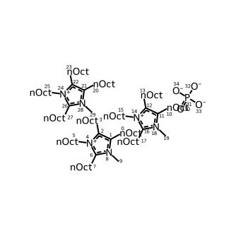 CCCCCCCCc1c(CCCCCCCC)[n+](CCCCCCCC)c(CCCCCCCC)n1C.CCCCCCCCc1c(CCCCCCCC)[n+](CCCCCCCC)c(CCCCCCCC)n1C.CCCCCCCCc1c(CCCCCCCC)[n+](CCCCCCCC)c(CCCCCCCC)n1C.O=P([O-])([O-])[O-]